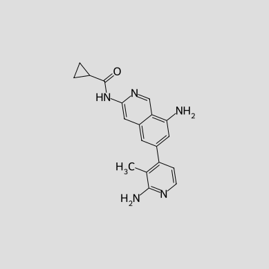 Cc1c(-c2cc(N)c3cnc(NC(=O)C4CC4)cc3c2)ccnc1N